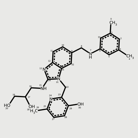 Cc1cc(C)cc(NCc2ccc3nc(NCC(O)CO)n(Cc4nc(C)ccc4O)c3c2)c1